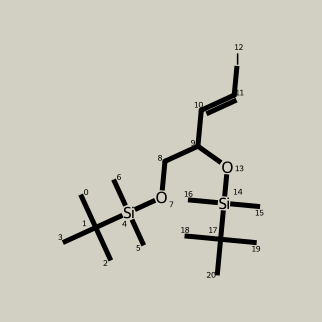 CC(C)(C)[Si](C)(C)OCC(/C=C/I)O[Si](C)(C)C(C)(C)C